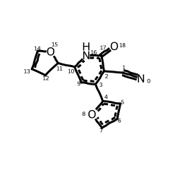 N#Cc1c(-c2ccco2)cc(C2CC=CO2)[nH]c1=O